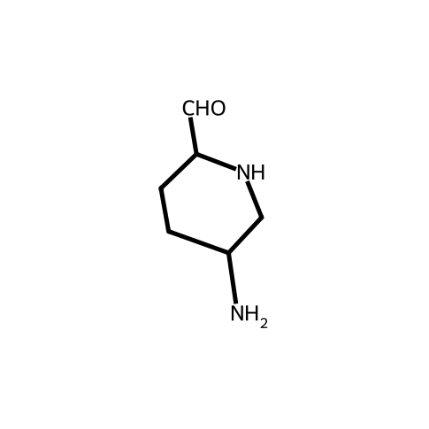 NC1CCC(C=O)NC1